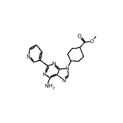 COC(=O)C1CCC(n2cnc3c(N)nc(-c4cccnc4)nc32)CC1